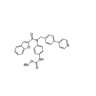 CC(C)(C)OC(=O)Nc1ccc(N(Cc2ccc(-c3ccncc3)cc2)C(=O)c2cc3ccccc3o2)cc1